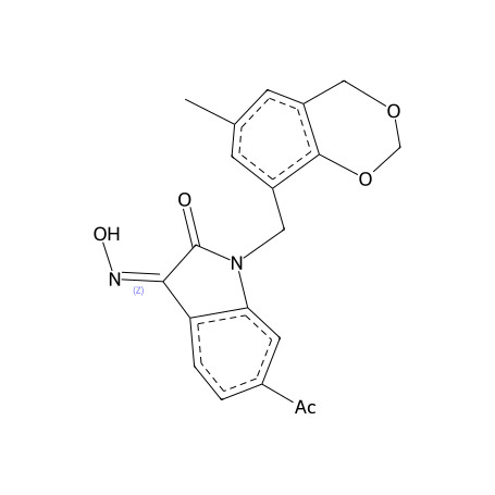 CC(=O)c1ccc2c(c1)N(Cc1cc(C)cc3c1OCOC3)C(=O)/C2=N\O